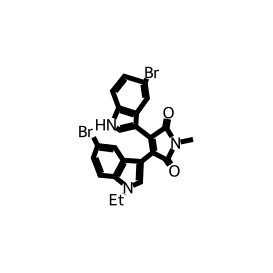 CCn1cc(C2=C(c3c[nH]c4ccc(Br)cc34)C(=O)N(C)C2=O)c2cc(Br)ccc21